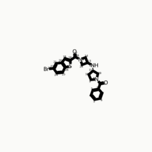 O=C(c1ccccc1)N1CC[C@H](NC2CN(C(=O)c3cc4cc(Br)ccc4s3)C2)C1